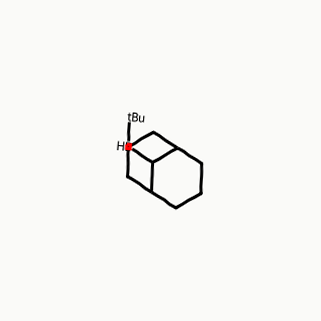 CC(C)(C)BC1C2CCCC1CCC2